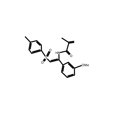 C=C(C)C(=O)NC(=CS(=O)(=O)c1ccc(C)cc1)c1cccc(OC)c1